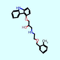 Cc1ccccc1COCCNCC(O)COc1cccc2[nH]c3ccccc3c12